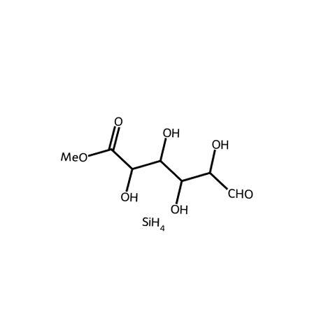 COC(=O)C(O)C(O)C(O)C(O)C=O.[SiH4]